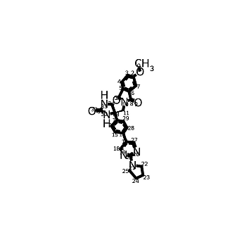 COc1ccc2c(c1)C(=O)N(C[C@@]1(c3ccc(-c4cnc(N5CCCC5)nc4)cc3)NC(=O)NC1=O)C2